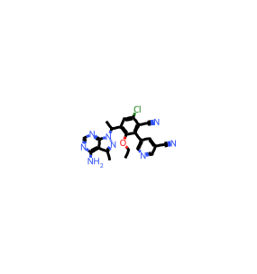 CCOc1c(C(C)n2nc(C)c3c(N)ncnc32)cc(Cl)c(C#N)c1-c1cncc(C#N)c1